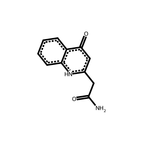 NC(=O)Cc1cc(=O)c2ccccc2[nH]1